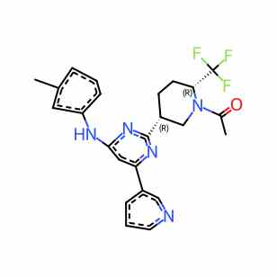 CC(=O)N1C[C@H](c2nc(Nc3cccc(C)c3)cc(-c3cccnc3)n2)CC[C@@H]1C(F)(F)F